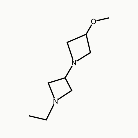 CCN1CC(N2CC(OC)C2)C1